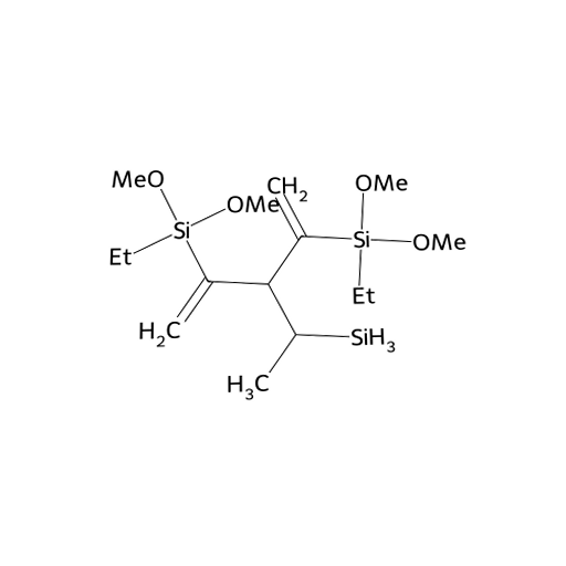 C=C(C(C(=C)[Si](CC)(OC)OC)C(C)[SiH3])[Si](CC)(OC)OC